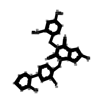 CCc1cc2c(=O)n(Cc3ccc(OC)cc3OC)c(=O)n(Cc3ccc(-c4ccccc4C#N)cc3F)c2s1